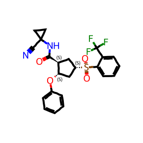 N#CC1(NC(=O)[C@H]2C[C@H](S(=O)(=O)c3ccccc3C(F)(F)F)C[C@@H]2Oc2ccccc2)CC1